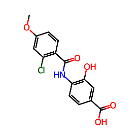 COc1ccc(C(=O)Nc2ccc(C(=O)O)cc2O)c(Cl)c1